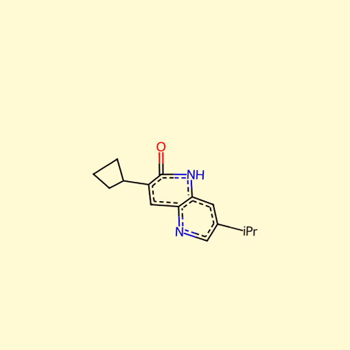 CC(C)c1cnc2cc(C3CCC3)c(=O)[nH]c2c1